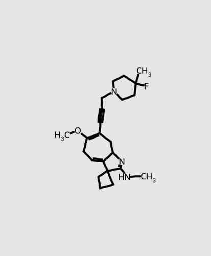 CNC1=NC2CC(C#CCN3CCC(C)(F)CC3)=C(OC)CC=C2C12CCC2